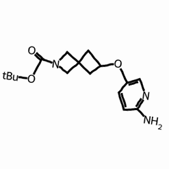 CC(C)(C)OC(=O)N1CC2(CC(Oc3ccc(N)nc3)C2)C1